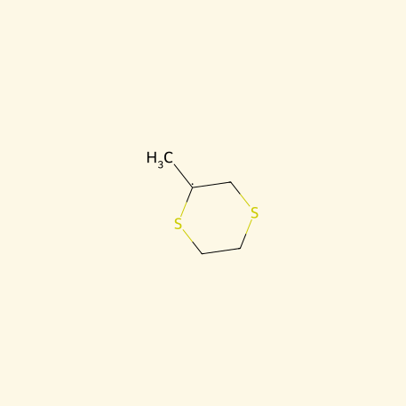 C[C]1CSCCS1